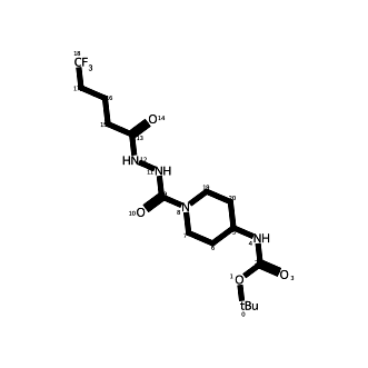 CC(C)(C)OC(=O)NC1CCN(C(=O)NNC(=O)CCCC(F)(F)F)CC1